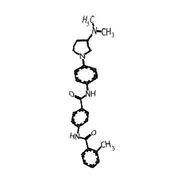 Cc1ccccc1C(=O)Nc1ccc(C(=O)Nc2ccc(N3CCC(N(C)C)C3)cc2)cc1